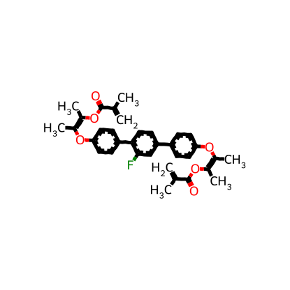 C=C(C)C(=O)OC(C)=C(C)Oc1ccc(-c2ccc(-c3ccc(OC(C)=C(C)OC(=O)C(=C)C)cc3)c(F)c2)cc1